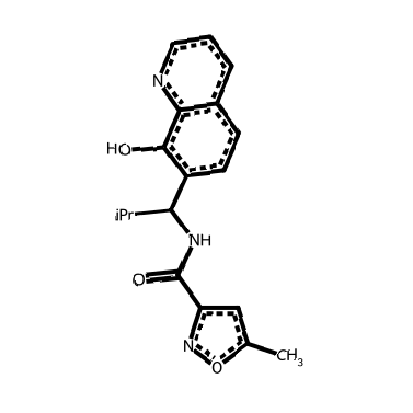 Cc1cc(C(=O)NC(c2ccc3cccnc3c2O)C(C)C)no1